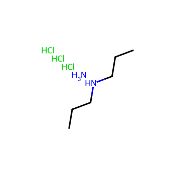 CCCNCCC.Cl.Cl.Cl.N